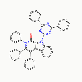 O=c1c2c(c(-c3ccccc3)c(-c3ccccc3)n1-c1ccccc1)c1ccccc1n2-c1nc(-c2ccccc2)nc(-c2ccccc2)n1